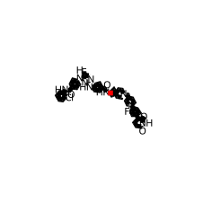 O=C1CCC(c2ccc(N3CCC(CN4CCC5(CC4)CC(NC(=O)c4ccc(Nc6ncc(F)c(Nc7ccc(C(=O)Nc8ccccc8Cl)cc7)n6)cc4)C5)CC3)c(F)c2)C(=O)N1